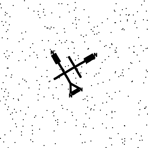 CC(C)(C#N)C(C)(C#N)C1N=N1